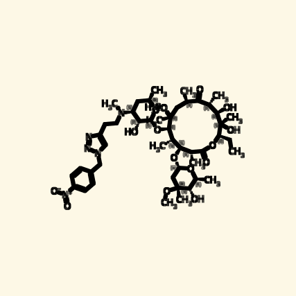 CC[C@H]1OC(=O)[C@H](C)[C@@H](O[C@H]2C[C@@](C)(OC)[C@@H](O)[C@H](C)O2)[C@H](C)[C@@H](O[C@@H]2O[C@H](C)C[C@H](N(C)CCc3cn(Cc4ccc([N+](=O)[O-])cc4)nn3)[C@H]2O)[C@](C)(OC)C[C@@H](C)C(=O)[C@H](C)[C@@H](O)[C@]1(C)O